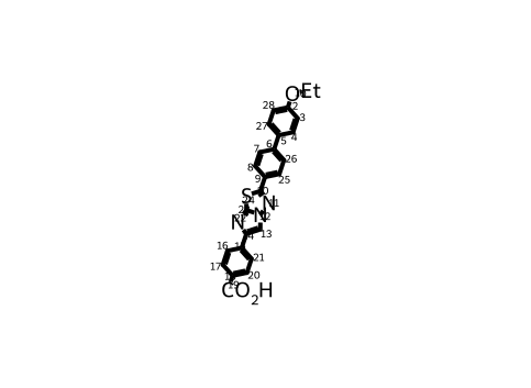 CCOc1ccc(-c2ccc(-c3nn4cc(-c5ccc(C(=O)O)cc5)nc4s3)cc2)cc1